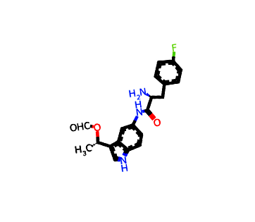 C[C@H](OC=O)c1c[nH]c2ccc(NC(=O)[C@@H](N)Cc3ccc(F)cc3)cc12